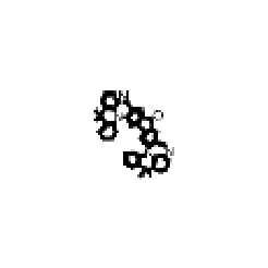 CC1(C)C2=CCCC=C2N(c2cc3c(cc2C#N)C(=O)c2cc(C#N)c(N4C5=C(C=C=C=C5)C(C)(C)c5ccccc54)cc2-3)c2ccccc21